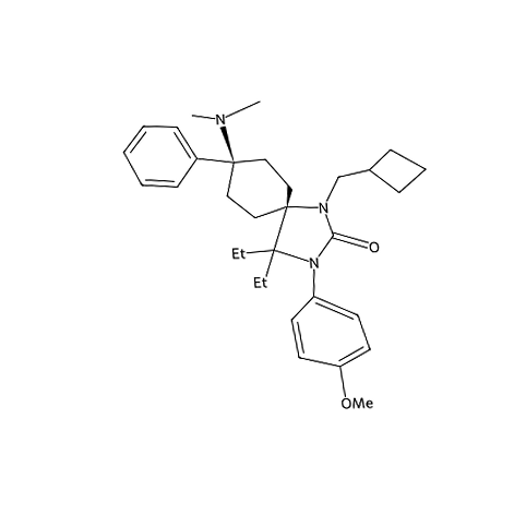 CCC1(CC)N(c2ccc(OC)cc2)C(=O)N(CC2CCC2)[C@]12CC[C@](c1ccccc1)(N(C)C)CC2